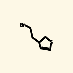 BrCCC1C=CSC1